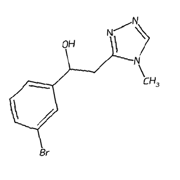 Cn1cnnc1CC(O)c1cccc(Br)c1